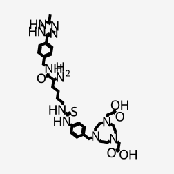 CC1=NN=C(c2ccc(CNC(=O)C(N)CCCCNC(=S)Nc3ccc(CN4CCN(CC(=O)O)CCN(CC(=O)O)CC4)cc3)cc2)NN1